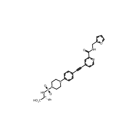 CC(C)[C@@H](NS(=O)(=O)N1CCN(c2ccc(C#Cc3ccnc(C(=O)NCc4ccco4)c3)cc2)CC1)C(=O)O